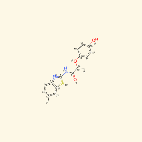 Cc1ccc2nc(NC(=O)[C@@H](C)Oc3ccc(O)cc3)sc2c1